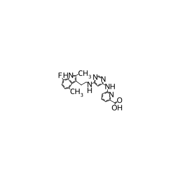 Cc1[nH]c2c(F)ccc(C)c2c1CCNc1cc(Nc2cccc(C(=O)O)n2)ncn1